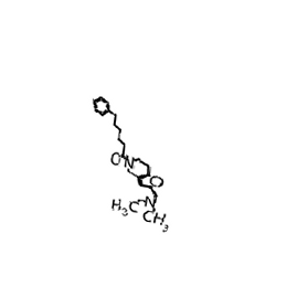 CCN(CC)Cc1cc2c(o1)CCN(C(=O)CCCCCc1ccccc1)C2